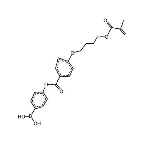 C=C(C)C(=O)OCCCCOc1ccc(C(=O)Oc2ccc(B(O)O)cc2)cc1